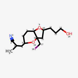 CC(C#N)CC1CCC2OC(CCCO)CC2(CI)O1